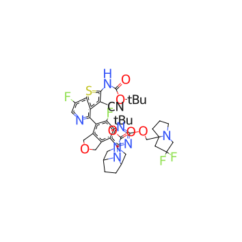 CC(C)(C)OC(=O)Nc1sc2c(F)cnc(-c3c4c(c5c(N6C7CCC6CN(C(=O)OC(C)(C)C)C7)nc(OCC67CCCN6CC(F)(F)C7)nc5c3F)COC4)c2c1C#N